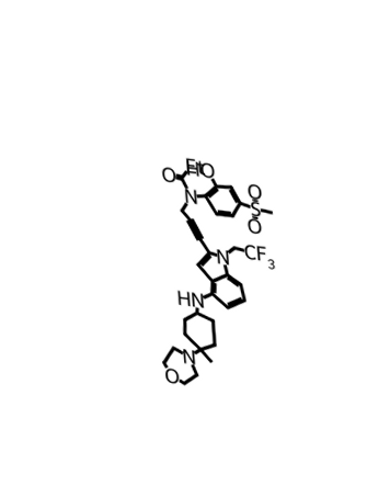 CCC(=O)N(CC#Cc1cc2c(NC3CCC(C)(N4CCOCC4)CC3)cccc2n1CC(F)(F)F)c1ccc(S(C)(=O)=O)cc1O